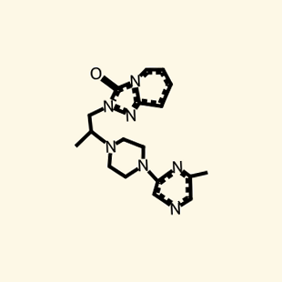 Cc1cncc(N2CCN(C(C)Cn3nc4ccccn4c3=O)CC2)n1